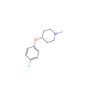 Fc1ccc(OC2CCN(I)CC2)cc1